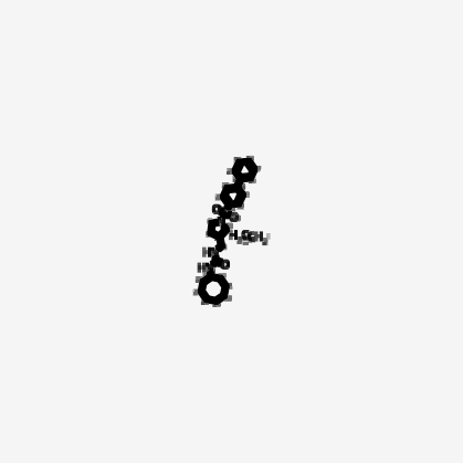 O=C(NCC1CCN(S(=O)(=O)c2ccc(-c3ccccc3)cc2)C1)N[C]1CCCCCCC1.[CH2].[CH2]